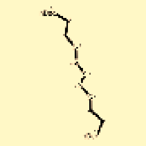 CCCCCCCCCCCCSSSSSCCCCCCCCCCCC